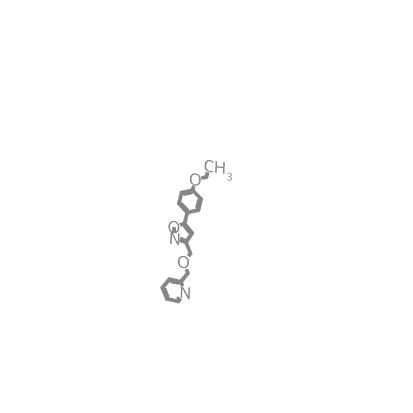 CCOc1ccc(-c2cc(COCc3ccccn3)no2)cc1